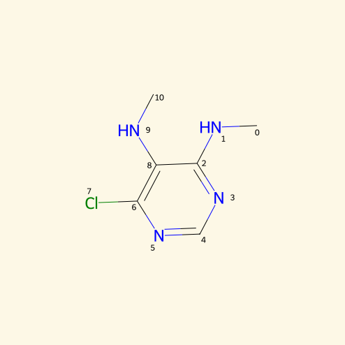 CNc1ncnc(Cl)c1NC